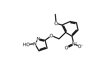 COc1cccc([N+](=O)[O-])c1COc1ccn(O)n1